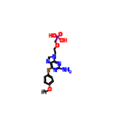 CC(C)Oc1ccc(Sc2nc(N)nc3c2ncn3CCOCP(=O)(O)O)cc1